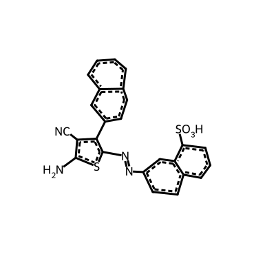 N#Cc1c(N)sc(N=Nc2ccc3cccc(S(=O)(=O)O)c3c2)c1-c1ccc2ccccc2c1